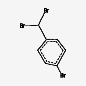 Brc1ccc(C(Br)Br)cc1